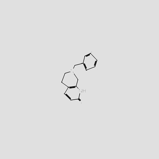 O=c1ccc2c([nH]1)CN(Cc1ccccc1)CC2